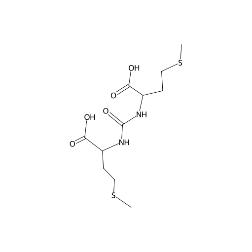 CSCCC(NC(=O)NC(CCSC)C(=O)O)C(=O)O